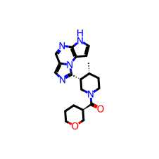 C[C@@H]1CCN(C(=O)[C@@H]2CCCOC2)C[C@@H]1c1ncc2cnc3[nH]ccc3n12